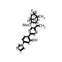 C=C(c1cnc(-c2ccc(-n3ccnc3)cc2O)cn1)[C@H]1C[C@@]2(C)N[C@H](CC2(F)F)[C@@H]1OC